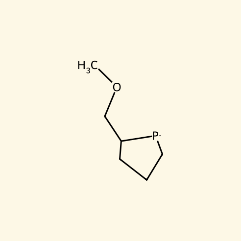 COCC1CCC[P]1